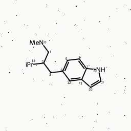 CNCC(Cc1ccc2[nH]ccc2c1)C(C)C